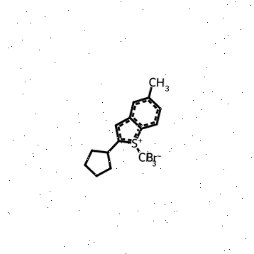 Cc1ccc2c(c1)cc(C1CCCC1)[s+]2C(F)(F)F.[Br-]